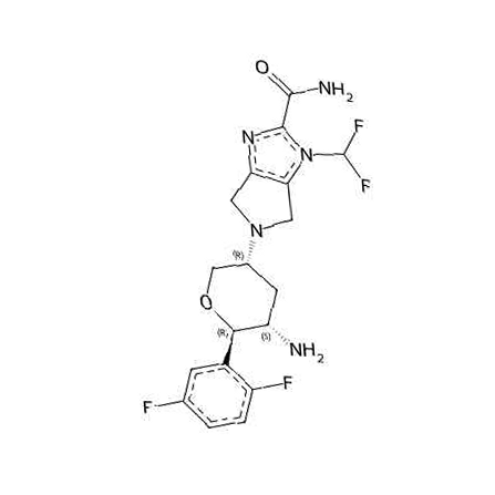 NC(=O)c1nc2c(n1C(F)F)CN([C@H]1CO[C@H](c3cc(F)ccc3F)[C@@H](N)C1)C2